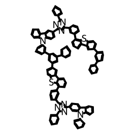 c1ccc(-c2cccc(-c3ccc4sc5c(-c6cccc(-c7nc(-c8ccccc8)nc(-c8ccc9c(c8)c8ccccc8n9-c8cccc(-c9cc(-c%10ccccc%10)cc(-c%10ccc%11sc%12c(-c%13cccc(-c%14nc(-c%15ccccc%15)nc(-c%15ccc%16c%17ccccc%17n(-c%17ccccc%17)c%16c%15)n%14)c%13)cccc%12c%11c%10)c9)c8)n7)c6)cccc5c4c3)c2)cc1